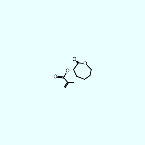 C=C(C)C([O])=O.O=C1CCCCCO1